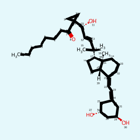 CCCCCCCC(=O)C1([C@H](O)/C=C/C(C)(C)[C@H]2CC[C@H]3/C(=C/C=C4C[C@@H](O)C[C@H](O)C4)CCC[C@]23C)CC1